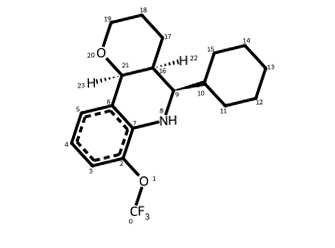 FC(F)(F)Oc1cccc2c1N[C@H](C1CCCCC1)[C@@H]1CCCO[C@H]21